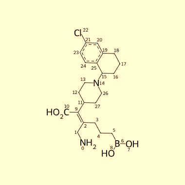 NC/C(CCCB(O)O)=C(\C(=O)O)C1CCN(C2CCCc3cc(Cl)ccc32)CC1